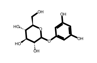 OC[C@H]1OC(Oc2cc(O)cc(O)c2)[C@H](O)[C@@H](O)[C@@H]1O